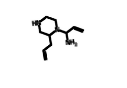 C=CCC1CNCCN1C(N)C=C